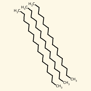 CCCCCCCCCCCCCCCC.CCCCCCCCCCCCCCCC.CCCCCCCCCCCCCCCC